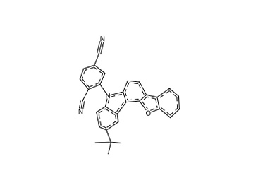 CC(C)(C)c1ccc2c(c1)c1c3oc4ccccc4c3ccc1n2-c1cc(C#N)ccc1C#N